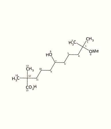 COC(C)(C)CCCC(O)CCCC(C)(C)C(=O)O